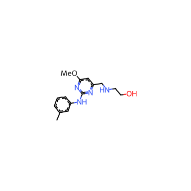 COc1cc(CNCCO)nc(Nc2cccc(C)c2)n1